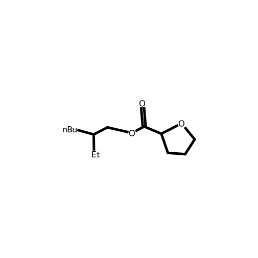 CCCCC(CC)COC(=O)C1CCCO1